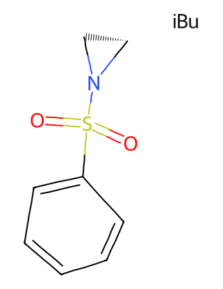 CC[C@H](C)[C@H]1CN1S(=O)(=O)c1ccccc1